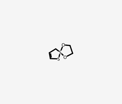 C1=CSS2(C1)OCCO2